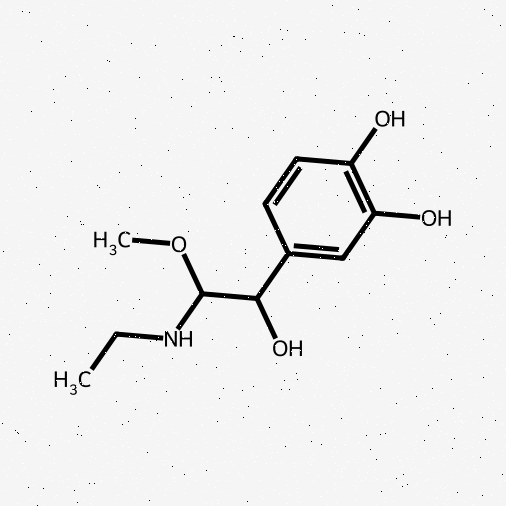 CCNC(OC)C(O)c1ccc(O)c(O)c1